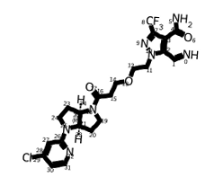 N=Cc1c(C(N)=O)c(C(F)(F)F)nn1CCOCCC(=O)N1CC[C@@H]2[C@H]1CCN2c1cc(Cl)ccn1